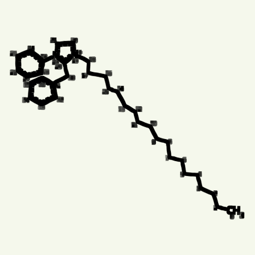 CCCCCCCCCCCCCCCCCCC[n+]1ccn(-c2ccccc2)c1Cc1ccccc1